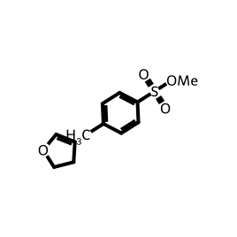 C1=COCC1.COS(=O)(=O)c1ccc(C)cc1